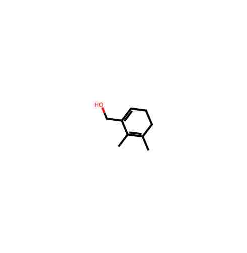 CC1=C(C)C(CO)=CCC1